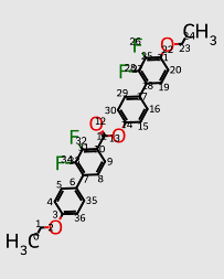 CCOc1ccc(-c2ccc(C(=O)Oc3ccc(-c4ccc(OCC)c(F)c4F)cc3)c(F)c2F)cc1